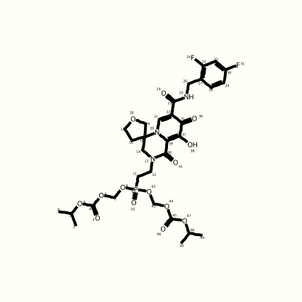 CC(C)OC(=O)OCOP(=O)(CCN1CC2(CCOC2)n2cc(C(=O)NCc3ccc(F)cc3F)c(=O)c(O)c2C1=O)OCOC(=O)OC(C)C